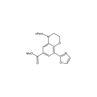 CCCCCN1CCOc2c(-c3ncco3)cc(C(=O)OC)cc21